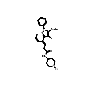 C/C=C\C(=C/CC(=O)NC1CCN(CC)CC1)c1nn(-c2ccccc2)c(NC)c1C